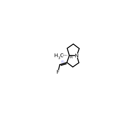 C[C@]12CCCN1CC/C2=C\F